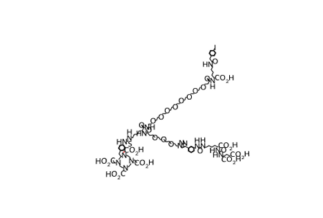 O=C(O)CC[C@H](NC(=O)N[C@@H](CCCCNC(=O)Nc1cccc(-c2cn(CCOCCOCCOCCC(=O)N[C@@H](CCCCNC(=S)Nc3ccc(CC4CN(CC(=O)O)CCN(CC(=O)O)CCN(CC(=O)O)CCN4CC(=O)O)cc3)C(=O)NCCOCCOCCOCCOCCOCCOCCOCCOCCC(=O)NC(CCCCNC(=O)Cc3ccc(I)cc3)C(=O)O)nn2)c1)C(=O)O)C(=O)O